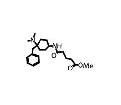 COC(=O)CCCC(=O)NC1CCC(Cc2ccccc2)(N(C)C)CC1